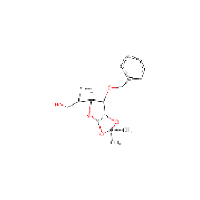 CC1(C)OC2O[C@]3(CCC3CO)C(OCc3ccccc3)C2O1